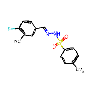 Cc1ccc(S(=O)(=O)NN=Cc2ccc(F)c(C#N)c2)cc1